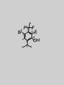 CC(C)c1cc(Br)c(C(C)(F)F)c(F)c1O